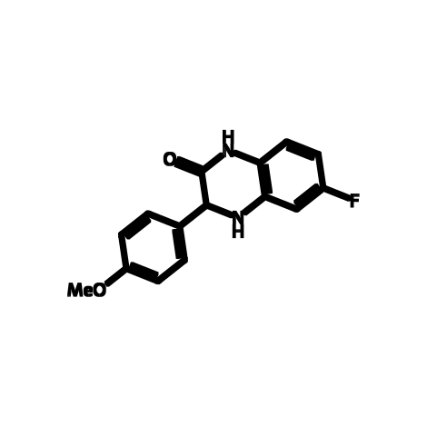 COc1ccc(C2Nc3cc(F)ccc3NC2=O)cc1